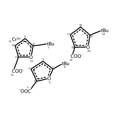 CC(C)(C)c1ccc(C(=O)[O-])o1.CC(C)(C)c1ccc(C(=O)[O-])o1.CC(C)(C)c1ccc(C(=O)[O-])o1.[Cr+3]